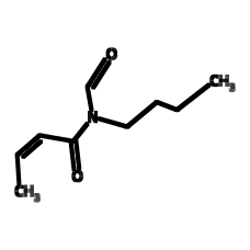 C/C=C\C(=O)N(C=O)CCCC